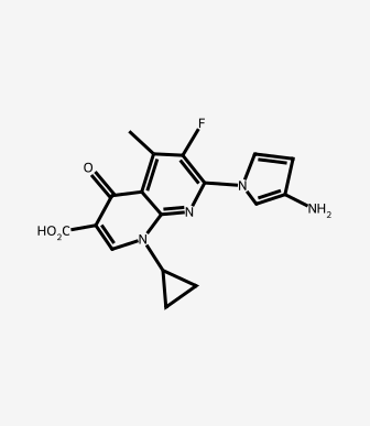 Cc1c(F)c(-n2ccc(N)c2)nc2c1c(=O)c(C(=O)O)cn2C1CC1